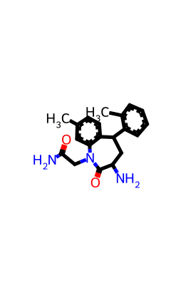 Cc1ccc2c(c1)N(CC(N)=O)C(=O)C(N)CC2c1ccccc1C